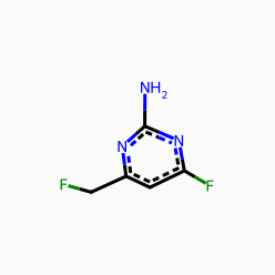 Nc1nc(F)cc(CF)n1